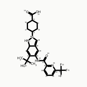 CC(C)(O)C1=CC2NN(C3CCC(C(=O)O)CC3)C=C2C=C1NC(=O)c1cccc(C(F)(F)F)n1